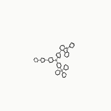 c1ccc(-c2ccc(-c3ccc(N(c4ccc(-c5cccc6c5c5ccccc5n6-c5ccccc5)cc4)c4ccc([Si](c5ccccc5)(c5ccccc5)c5ccccc5)cc4)cc3)cc2)cc1